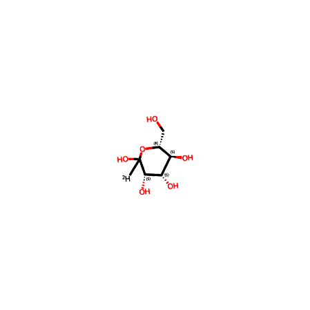 [2H]C1(O)O[C@H](CO)[C@@H](O)[C@H](O)[C@@H]1O